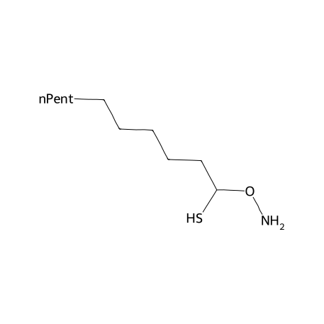 CCCCCCCCCCC(S)ON